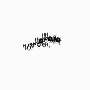 CCN(CC)CCNC(=O)c1ccc(NC(=O)Nc2ccc(N(C)C(=O)c3ccccc3)cc2)cc1OC